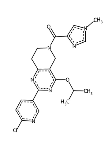 CC(C)Oc1nc(-c2ccc(Cl)nc2)nc2c1CN(C(=O)c1cn(C)cn1)CC2